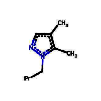 Cc1cnn(CC(C)C)c1C